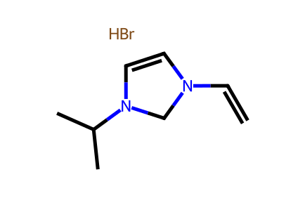 Br.C=CN1C=CN(C(C)C)C1